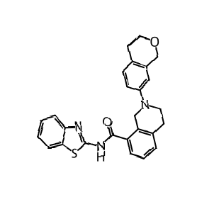 O=C(Nc1nc2ccccc2s1)c1cccc2c1CN(c1ccc3c(c1)COCC3)CC2